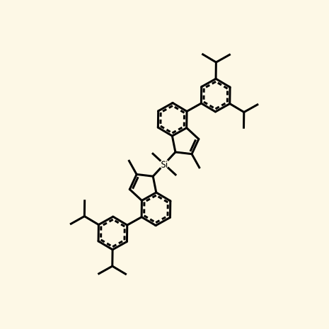 CC1=Cc2c(-c3cc(C(C)C)cc(C(C)C)c3)cccc2C1[Si](C)(C)C1C(C)=Cc2c(-c3cc(C(C)C)cc(C(C)C)c3)cccc21